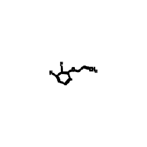 C=CCOc1[c]ccc(F)c1F